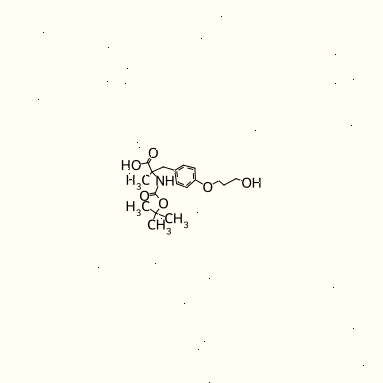 CC(C)(C)OC(=O)NC(C)(Cc1ccc(OCCCO)cc1)C(=O)O